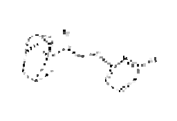 O=C(COc1cccc(Cl)n1)C12CC3CC(CC(C3)C1)C2